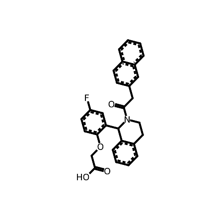 O=C(O)COc1ccc(F)cc1C1c2ccccc2CCN1C(=O)Cc1ccc2ccccc2c1